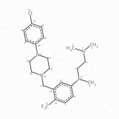 CN(C)CCN(C)c1ccc(C(F)(F)F)c(CN2CCN(c3ccc(Cl)cc3)CC2)c1